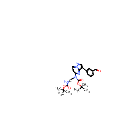 CC(C)(C)OC(=O)NCCN(C(=O)OC(C)(C)C)c1ccn2ncc(-c3cccc(C=O)c3)c2n1